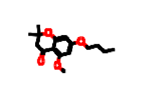 CCCCOc1cc(OC)c2c(c1)OC(C)(C)CC2=O